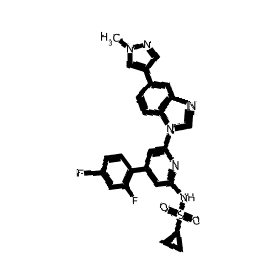 Cn1cc(-c2ccc3c(c2)ncn3-c2cc(-c3ccc(F)cc3F)cc(NS(=O)(=O)C3CC3)n2)cn1